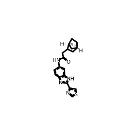 O=C(CC1C[C@@H]2CC[C@H]1C2)Nc1ccc2nc(-c3cscn3)[nH]c2c1